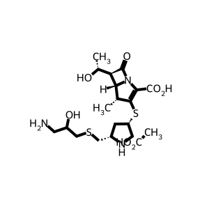 CC(=O)O.C[C@@H](O)[C@H]1C(=O)N2C(C(=O)O)=C(S[C@@H]3CN[C@H](CSCC(O)CN)C3)[C@H](C)[C@H]12